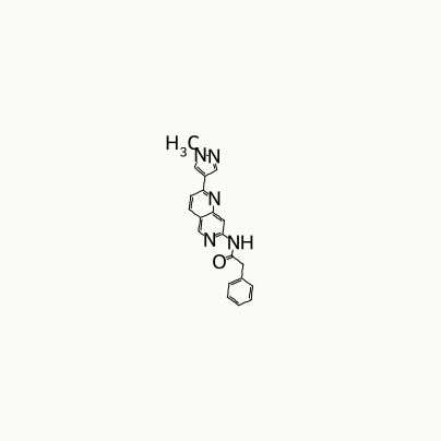 Cn1cc(-c2ccc3cnc(NC(=O)Cc4ccccc4)cc3n2)cn1